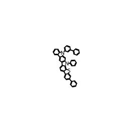 c1ccc(-c2cccc(-n3c4ccccc4c4cc5c6ccc7c8ccc(-c9ccccc9)cc8sc7c6n(-c6ccccc6)c5cc43)c2)cc1